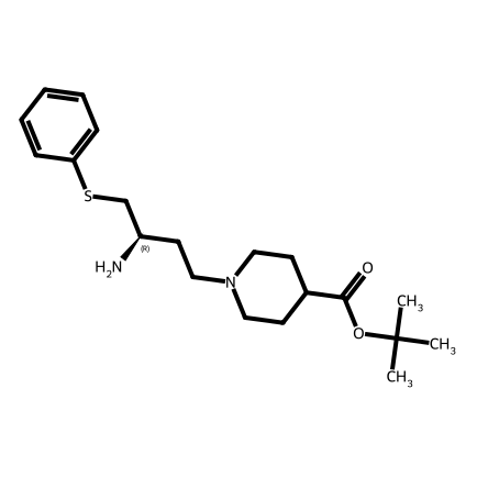 CC(C)(C)OC(=O)C1CCN(CC[C@@H](N)CSc2ccccc2)CC1